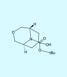 CC(C)(C)OC(=O)N1[C@@H]2COC[C@@H]1CC(O)C2